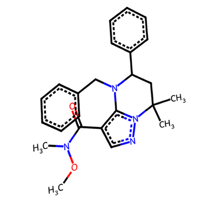 CON(C)C(=O)c1cnn2c1N(Cc1ccccc1)C(c1ccccc1)CC2(C)C